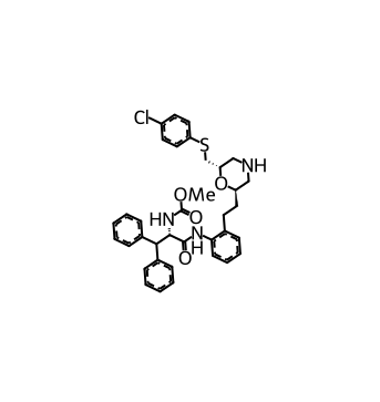 COC(=O)N[C@H](C(=O)Nc1ccccc1CC[C@@H]1CNC[C@@H](CSc2ccc(Cl)cc2)O1)C(c1ccccc1)c1ccccc1